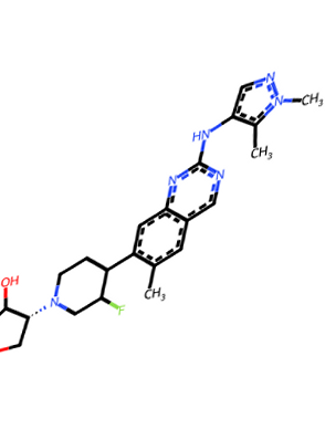 Cc1cc2cnc(Nc3cnn(C)c3C)nc2cc1C1CCN([C@@H]2COCC2O)CC1F